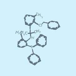 Cc1cccc(C(C)(C)Pc2c(C)cccc2P(c2ccccc2)c2ccccc2)c1OCc1ccccc1